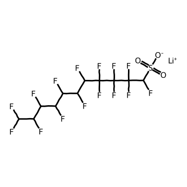 O=S(=O)([O-])C(F)C(F)(F)C(F)(F)C(F)(F)C(F)C(F)C(F)C(F)C(F)C(F)C(F)F.[Li+]